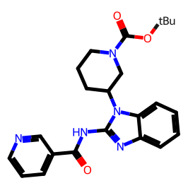 CC(C)(C)OC(=O)N1CCCC(n2c(NC(=O)c3cccnc3)nc3ccccc32)C1